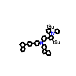 CC(C)(C)c1ccc2c3c(-c4cccc(N(c5ccc(-c6ccc(-c7cccc8ccccc78)cc6)cc5)c5ccc6c7c(ccc6c5)C=CCC7)c4)cc(C(C)(C)C)cc3n(-c3ccccc3)c2c1